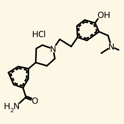 CN(C)Cc1cc(CCN2CCC(c3cccc(C(N)=O)c3)CC2)ccc1O.Cl